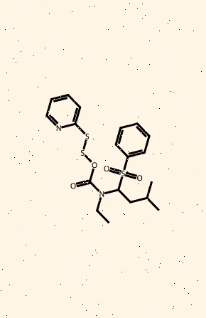 CCN(C(=O)OSSc1ccccn1)C(CC(C)C)S(=O)(=O)c1ccccc1